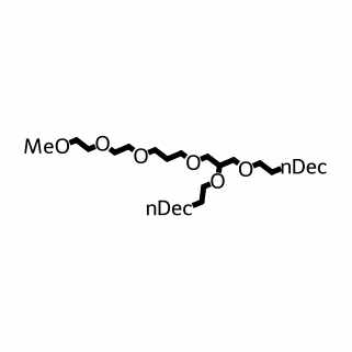 CCCCCCCCCCCCOCC(COCCCOCCOCCOC)OCCCCCCCCCCCC